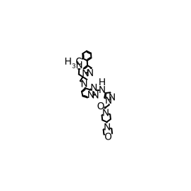 Cc1ccccc1-c1cnn(C2(CC#N)CN(c3cccn4nc(Nc5cnn(CC(=O)N6CCC(N7CCOCC7)CC6)c5)nc34)C2)c1